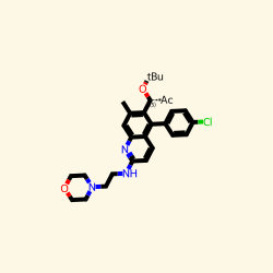 CC(=O)[C@@H](OC(C)(C)C)c1c(C)cc2nc(NCCN3CCOCC3)ccc2c1-c1ccc(Cl)cc1